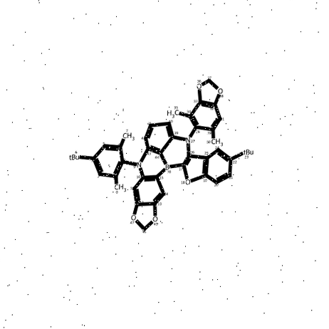 Cc1cc(C(C)(C)C)cc(C)c1N1c2cc3c(cc2B2c4oc5ccc(C(C)(C)C)cc5c4N(c4c(C)cc5c(c4C)OCO5)c4cccc1c42)OCO3